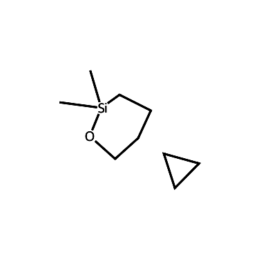 C1CC1.C[Si]1(C)CCCCO1